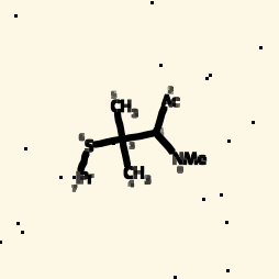 CNC(C(C)=O)C(C)(C)SC(C)C